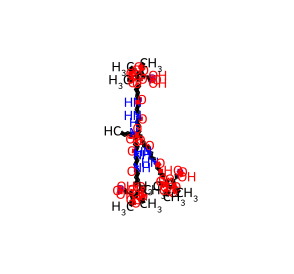 C#CCCC(=O)NC(COCCC(=O)NCCCNC(=O)CCCCO[C@H]1O[C@H](CCP(=O)(O)O)[C@@H](OC(C)=O)[C@H](OC(C)=O)[C@@H]1OC(C)=O)(COCCC(=O)NCCCNC(=O)CCCCO[C@H]1O[C@H](CCP(=O)(O)O)[C@@H](OC(C)=O)[C@H](OC(C)=O)[C@@H]1OC(C)=O)COCCC(=O)NCCCNC(=O)CCCCO[C@H]1O[C@H](CCP(=O)(O)O)[C@@H](OC(C)=O)[C@H](OC(C)=O)[C@@H]1OC(C)=O